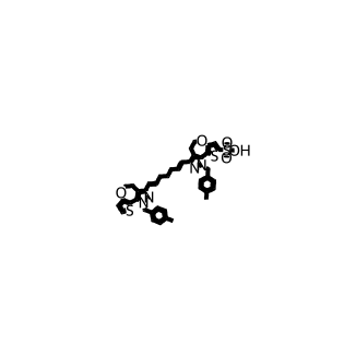 Cc1ccc(Cn2nc(/C=C/CCC/C=C/c3nn(Cc4ccc(C)cc4)c4c3CCOc3cc(S(=O)(=O)O)sc3-4)c3c2-c2sccc2OCC3)cc1